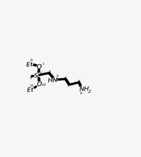 CCO[Si](C)(CNCCCN)OCC